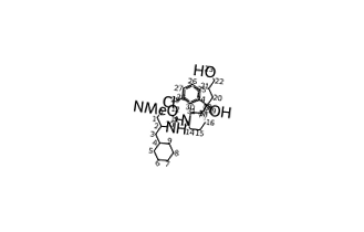 CNCC(CC1CCCCC1)NC(=O)N1CCC[C@@H]([C@@](O)(CCCO)c2cccc(Cl)c2)C1